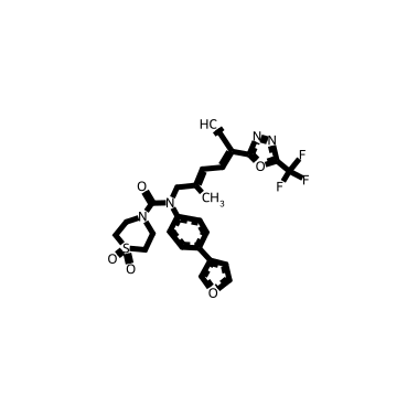 C#C/C(=C\C=C(/C)CN(C(=O)N1CCS(=O)(=O)CC1)c1ccc(-c2ccoc2)cc1)c1nnc(C(F)(F)F)o1